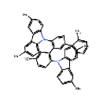 CC(C)(C)c1ccc2c(c1)c1cc(C(C)(C)C)ccc1n2-c1ccc(C#N)cc1-c1cc(-c2c(C(F)(F)F)cccc2C(F)(F)F)ccc1-n1c2ccc(C(C)(C)C)cc2c2cc(C(C)(C)C)ccc21